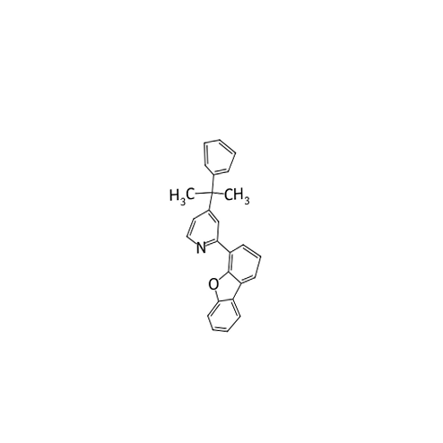 CC(C)(c1ccccc1)c1ccnc(-c2cccc3c2oc2ccccc23)c1